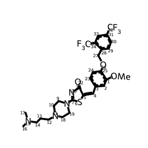 COc1cc(/C=C2/SC(N3CCN(CCCN(C)C)CC3)=NC2=O)ccc1OCc1ccc(C(F)(F)F)cc1C(F)(F)F